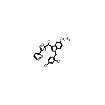 COc1ccc2c(c1)c(C(=O)c1nc(-c3cccnn3)no1)cn2Cc1ccc(Cl)cc1Cl